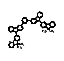 CC1(C)c2ccccc2-c2cc(-n3c4ccccc4c4cc(-c5cccc(-c6ccc7c(c6)c6ccccc6n7-c6ccc7c(c6)-c6ncccc6C7(C)C)c5)ccc43)ccc21